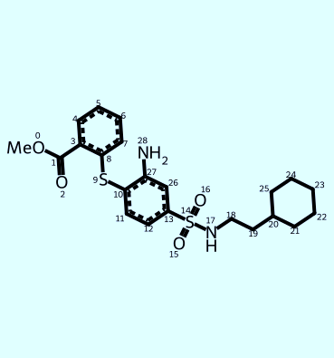 COC(=O)c1ccccc1Sc1ccc(S(=O)(=O)NCCC2CCCCC2)cc1N